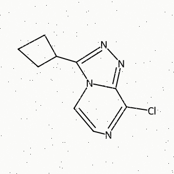 Clc1nccn2c(C3CCC3)nnc12